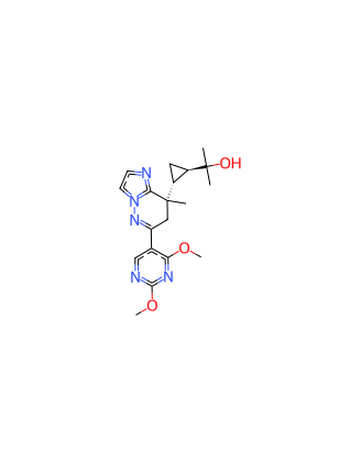 COc1ncc(C2=Nn3ccnc3C(C)([C@@H]3C[C@H]3C(C)(C)O)C2)c(OC)n1